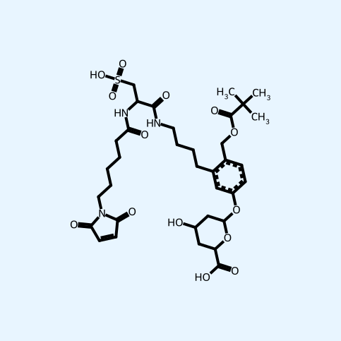 CC(C)(C)C(=O)OCc1ccc(OC2CC(O)CC(C(=O)O)O2)cc1CCCCNC(=O)C(CS(=O)(=O)O)NC(=O)CCCCCN1C(=O)C=CC1=O